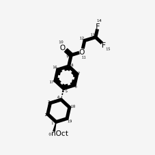 CCCCCCCC[C@H]1CC[C@H](c2ccc(C(=O)OCC(F)F)cc2)CC1